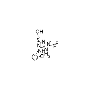 Nc1c(NCc2ccccc2Cl)nc(SCCO)nc1N1CCC(F)(F)C1